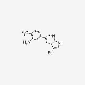 CCc1c[nH]c2ncc(-c3ccc(C(F)(F)F)c(N)c3)cc12